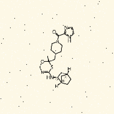 CC1(CC2CCN(C(=O)c3ncc[nH]3)CC2)OCN=C(N[C@H]2C[C@@H]3CC[C@H]2C3)S1